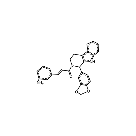 Nc1cccc(/C=C/C(=O)N2CCc3c([nH]c4ccccc34)C2c2ccc3c(c2)OCO3)c1